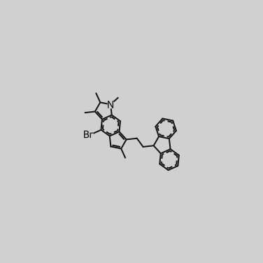 CC1=Cc2c(Br)c3c(cc2=C1CCC1c2ccccc2-c2ccccc21)N(C)C(C)C=3C